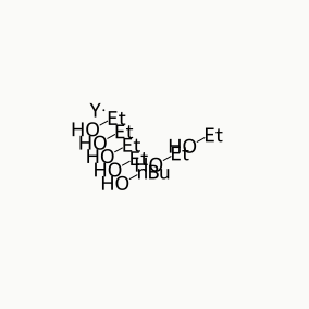 CCCCO.CCO.CCO.CCO.CCO.CCO.CCO.[Y]